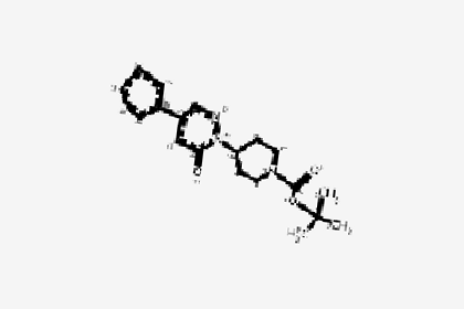 CC(C)(C)OC(=O)N1CCC(n2ncc(-c3ccccc3)cc2=O)CC1